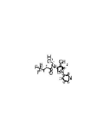 CCN(C(=O)CCC(F)(F)F)c1cn(-c2cccnc2)nc1C